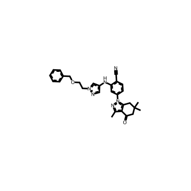 Cc1nn(-c2ccc(C#N)c(Nc3cnn(CCOCc4ccccc4)c3)c2)c2c1C(=O)CC(C)(C)C2